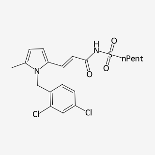 CCCCCS(=O)(=O)NC(=O)C=Cc1ccc(C)n1Cc1ccc(Cl)cc1Cl